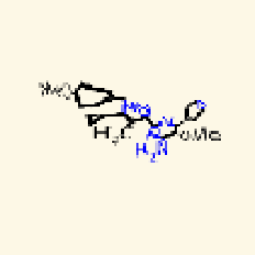 COc1ccc(Cn2nc(-c3nc(N)c(OC)c(-c4ccncc4)n3)c(C)c2C2CC2)cc1